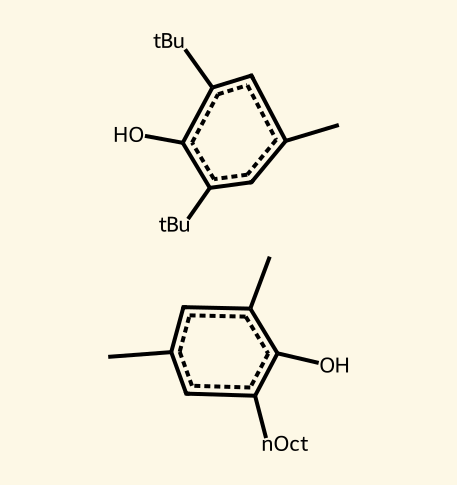 CCCCCCCCc1cc(C)cc(C)c1O.Cc1cc(C(C)(C)C)c(O)c(C(C)(C)C)c1